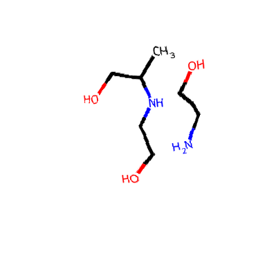 CC(CO)NCCO.NCCO